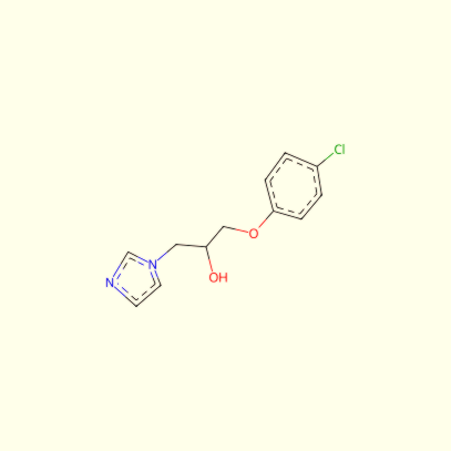 OC(COc1ccc(Cl)cc1)Cn1ccnc1